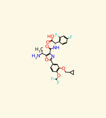 C[C@H](N)c1oc(-c2ccc(OC(F)F)c(OCC3CC3)c2)nc1C(=O)N[C@H](C(=O)O)c1ccc(F)cc1F